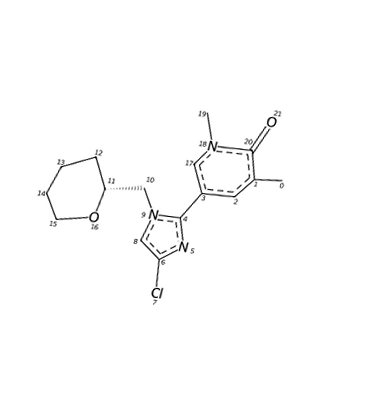 Cc1cc(-c2nc(Cl)cn2C[C@H]2CCCCO2)cn(C)c1=O